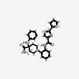 NC(=O)C1(Nc2ccccc2)CCN(c2ccccc2NC(=O)c2csc(-c3cccs3)n2)CC1